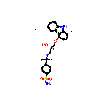 CC(C)(NC[C@H](O)COc1cccc2[nH]c3ccccc3c12)c1ccc(S(N)(=O)=O)cc1